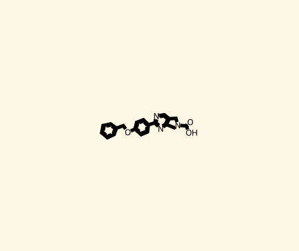 O=C(O)N1Cc2cnc(-c3ccc(OCc4ccccc4)cc3)nc2C1